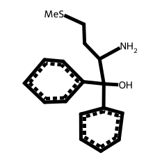 CSCCC(N)C(O)(c1ccccc1)c1ccccc1